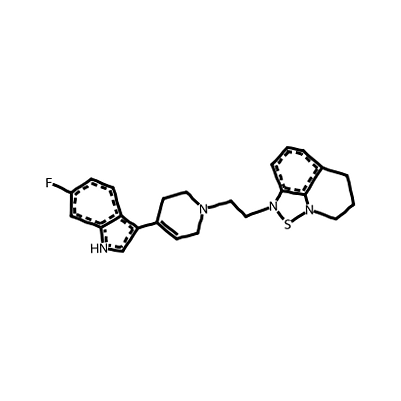 Fc1ccc2c(C3=CCN(CCN4SN5CCCc6cccc4c65)CC3)c[nH]c2c1